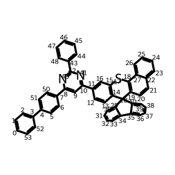 c1ccc(-c2ccc(-c3cc(-c4ccc5c(c4)Sc4c(ccc6ccccc46)C54c5ccccc5-c5ccccc54)nc(-c4ccccc4)n3)cc2)cc1